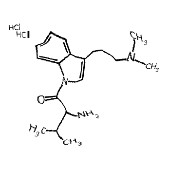 CC(C)C(N)C(=O)n1cc(CCN(C)C)c2ccccc21.Cl.Cl